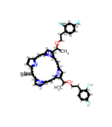 CC(OCCc1ccc(F)cc1F)C1=Cc2cc3[nH]c(cc4nc(cc5ccc(cc1n2)[nH]5)C=C4)cc3C(C)OCCc1ccc(F)cc1F.[NaH].[NaH]